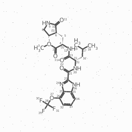 COC(=O)[C@H](C[C@@H]1CCNC1=O)NC(=O)[C@H](CC(C)C)NC(=O)c1nc2c(OC(F)(F)F)cccc2[nH]1